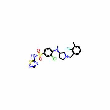 Cc1cccc(CN2CCC(N(C)c3ccc(S(=O)(=O)Nc4ncns4)cc3Cl)C2)c1F